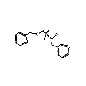 CC(C)(COCc1ccccc1)C(O)Cc1cccnc1